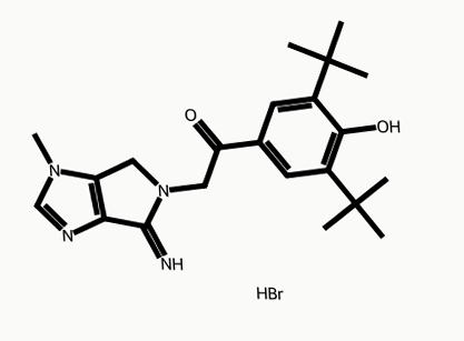 Br.Cn1cnc2c1CN(CC(=O)c1cc(C(C)(C)C)c(O)c(C(C)(C)C)c1)C2=N